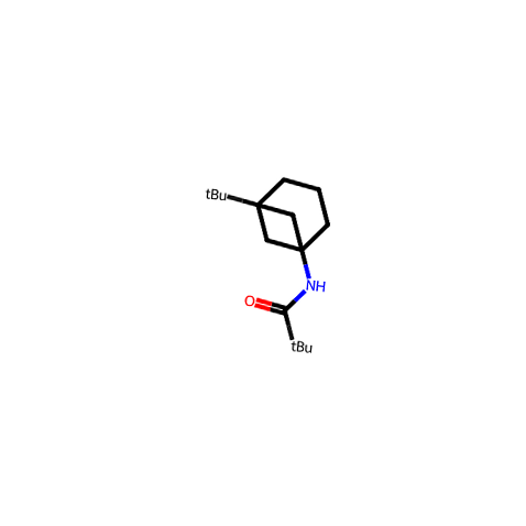 CC(C)(C)C(=O)NC12CCCC(C(C)(C)C)(C1)C2